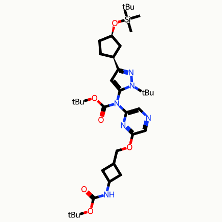 CC(C)(C)OC(=O)NC1CC(COc2cncc(N(C(=O)OC(C)(C)C)c3cc([C@H]4CC[C@@H](O[Si](C)(C)C(C)(C)C)C4)nn3C(C)(C)C)n2)C1